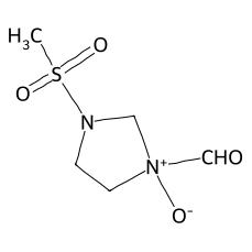 CS(=O)(=O)N1CC[N+]([O-])(C=O)C1